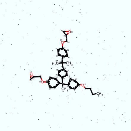 CCCCOc1ccc(C(C)(c2ccc(OCC3CO3)cc2)c2ccc(C(C)(C)c3ccc(OCC4CO4)cc3)cc2)cc1